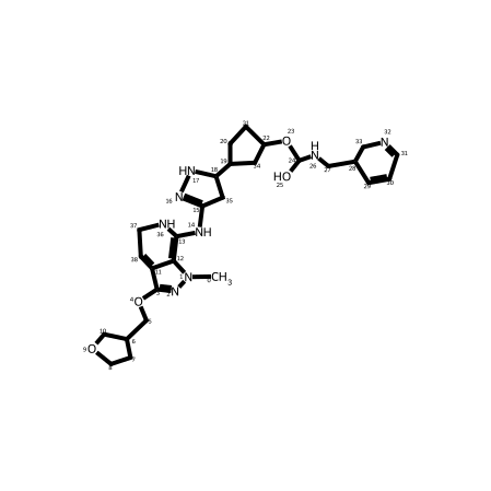 Cn1nc(OCC2CCOC2)c2c1=C(NC1=NNC(C3CCC(OC(O)NCC4C=CC=NC4)C3)C1)NCC=2